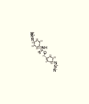 [N-]=[N+]=Nc1ccc(COC(=S)Nc2ccc(N=[N+]=[N-])cc2)cc1